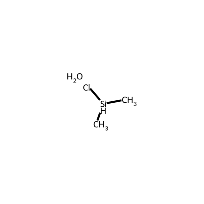 C[SiH](C)Cl.O